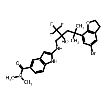 CN(C)C(=O)c1ccc2[nH]c(NCC(O)(CC(C)(C)c3cc(Br)cc4c3OCC4)C(F)(F)F)cc2c1